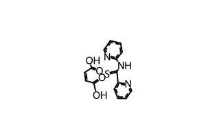 O=C(O)/C=C\C(=O)O.S=C(Nc1ccccn1)c1ccccn1